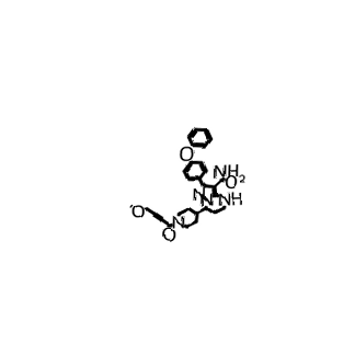 COCC#CC(=O)N1CCC(C2CCNc3c(C(N)=O)c(-c4ccc(Oc5ccccc5)cc4)nn32)CC1